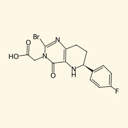 O=C(O)Cn1c(Br)nc2c(c1=O)N[C@H](c1ccc(F)cc1)CC2